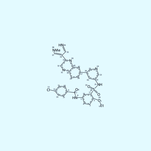 CCOc1ccc(NC(=O)c2ccc(Cl)cc2)cc1S(=O)(=O)Nc1cncc(-c2ccc3ncc(/C(C=N)=C/NC)nc3c2)c1